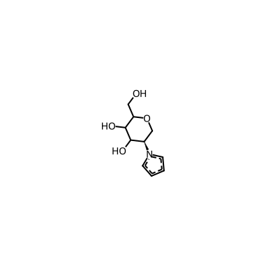 OCC1OC[C@@H](n2cccc2)C(O)C1O